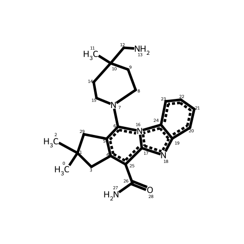 CC1(C)Cc2c(c(N3CCC(C)(CN)CC3)n3c(nc4ccccc43)c2C(N)=O)C1